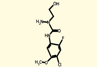 COc1cc(NC(=O)N(N)CCO)c(F)cc1Cl